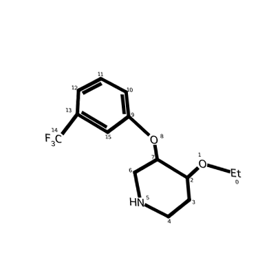 CCOC1CCNCC1Oc1cccc(C(F)(F)F)c1